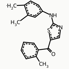 [CH2]c1ccc(Nc2ncc(C(=O)c3ccccc3C)s2)cc1C